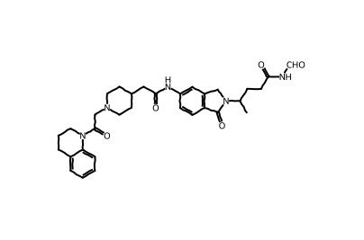 CC(CCC(=O)NC=O)N1Cc2cc(NC(=O)CC3CCN(CC(=O)N4CCCc5ccccc54)CC3)ccc2C1=O